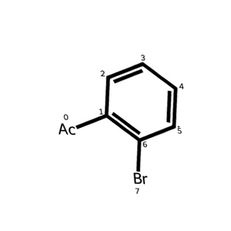 CC(=O)c1ccc[c]c1Br